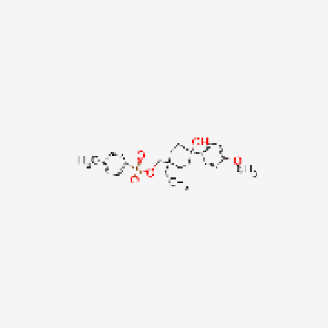 CCC1(COS(=O)(=O)c2ccc(C)cc2)CCC(O)(c2ccc(OC)cc2)CC1